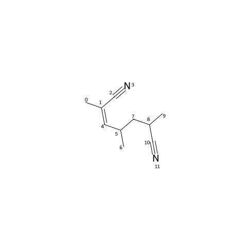 CC(C#N)=CC(C)CC(C)C#N